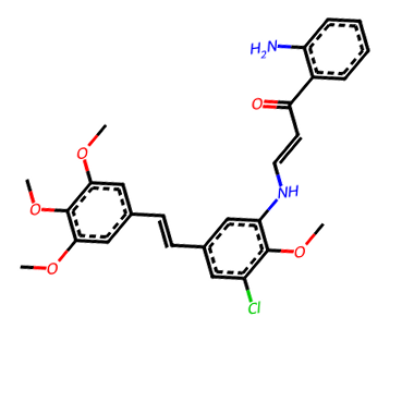 COc1cc(C=Cc2cc(Cl)c(OC)c(NC=CC(=O)c3ccccc3N)c2)cc(OC)c1OC